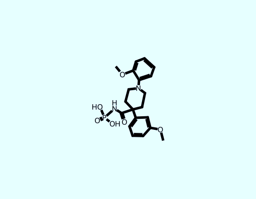 COc1cccc(C2(C(=O)NP(=O)(O)O)CCN(c3ccccc3OC)CC2)c1